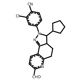 N#Cc1ccc(N2N=C3c4ccc([C]=O)nc4CCC3C2C2CCCC2)cc1Cl